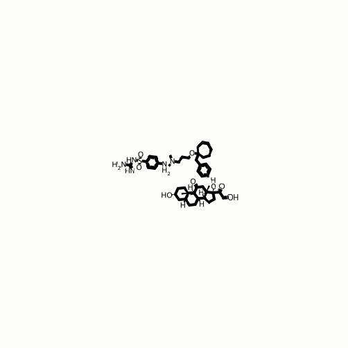 CN(C)CCCOC1(Cc2ccccc2)CCCCCC1.C[C@]12CC[C@@H](O)C[C@H]1CC[C@@H]1[C@@H]2C(=O)C[C@@]2(C)[C@H]1CC[C@]2(O)C(=O)CO.N=C(N)NS(=O)(=O)c1ccc(N)cc1